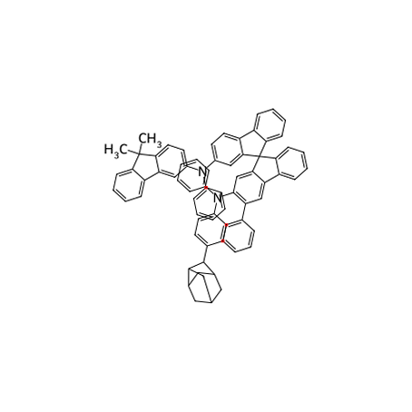 CC1(C)c2ccccc2-c2cc(N(c3ccccc3)c3ccc4c(c3)C3(c5ccccc5-4)c4ccccc4-c4cc(-c5ccccc5)c(N(c5ccccc5)c5ccc(C6C7CC8CC(C7)C6C8)cc5)cc43)ccc21